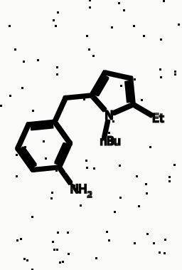 CCCCn1c(CC)ccc1Cc1cccc(N)c1